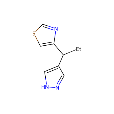 [CH2]CC(c1cn[nH]c1)c1cscn1